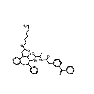 CC(NC(=O)Cc1cccc(C(=O)c2ccccc2)c1)C(=O)N[C@@H]1C(=O)N(CC(=O)NCCCCCN)c2ccccc2O[C@@H]1c1ccccc1